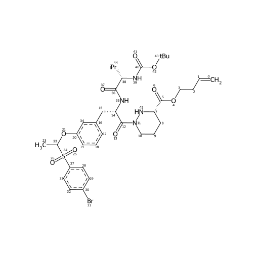 C=CCCOC(=O)[C@@H]1CCCN(C(=O)[C@H](Cc2cccc(OC(C)S(=O)(=O)c3ccc(Br)cc3)c2)NC(=O)[C@@H](NC(=O)OC(C)(C)C)C(C)C)N1